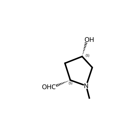 CN1C[C@@H](O)C[C@H]1C=O